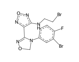 Fc1ccc(N2CON=C2c2nonc2NCCBr)cc1Br